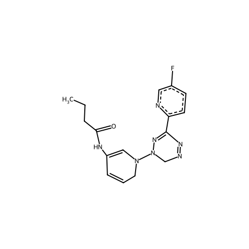 CCCC(=O)NC1=CN(N2CN=NC(c3ccc(F)cn3)=N2)CC=C1